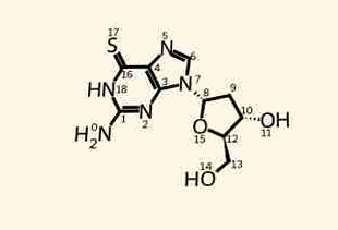 Nc1nc2c(ncn2[C@@H]2C[C@H](O)[C@@H](CO)O2)c(=S)[nH]1